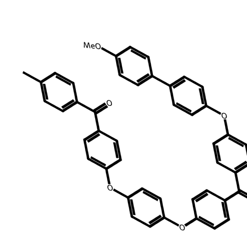 COc1ccc(-c2ccc(Oc3ccc(C(=O)c4ccc(Oc5ccc(Oc6ccc(C(=O)c7ccc(C)cc7)cc6)cc5)cc4)cc3)cc2)cc1